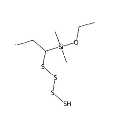 [CH2]CC(SSSS)[Si](C)(C)OCC